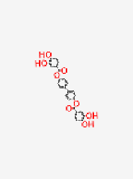 O=C(Oc1ccc(-c2ccc(OC(=O)c3ccc(O)c(O)c3)cc2)cc1)c1ccc(O)c(O)c1